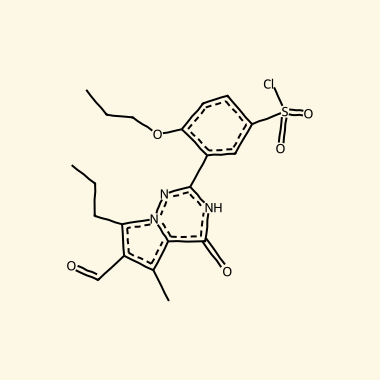 CCCOc1ccc(S(=O)(=O)Cl)cc1-c1nn2c(CCC)c(C=O)c(C)c2c(=O)[nH]1